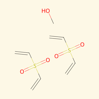 C=CS(=O)(=O)C=C.C=CS(=O)(=O)C=C.CO